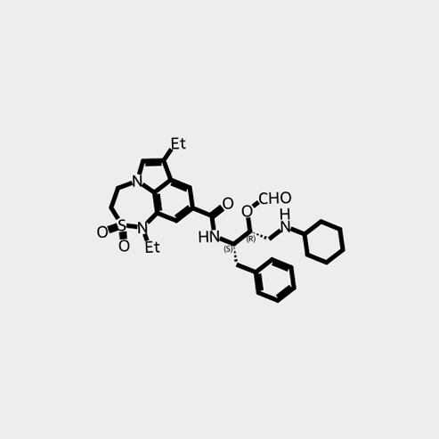 CCc1cn2c3c(cc(C(=O)N[C@@H](Cc4ccccc4)[C@@H](CNC4CCCCC4)OC=O)cc13)N(CC)S(=O)(=O)CC2